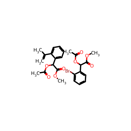 C=C(C)c1ccccc1C(OC(C)=O)C(=O)OC.COC(=O)C(OC(C)=O)c1ccccc1Br